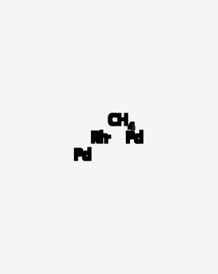 C.[Pd].[Pd].[Rh]